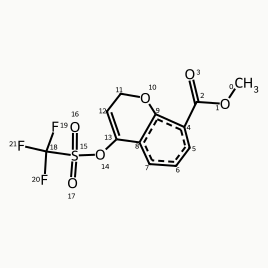 COC(=O)c1cccc2c1OCC=C2OS(=O)(=O)C(F)(F)F